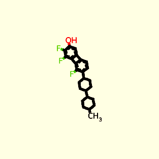 CC1CCC(C2CCC(c3ccc4c(c3F)-c3c-4cc(O)c(F)c3F)CC2)CC1